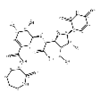 NC(=O)[C@H](O[C@H]1OC(C(=O)N[C@H]2CCCCNC2=O)=C[C@H](O)[C@@H]1O)[C@H]1O[C@@H](n2ccc(=O)[nH]c2=O)[C@H](O)[C@@H]1CO